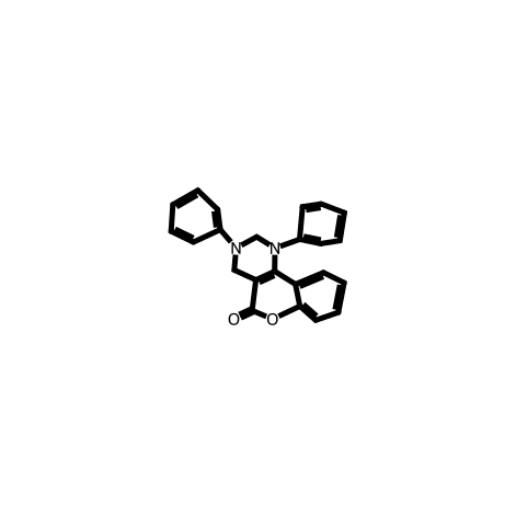 O=c1oc2ccccc2c2c1CN(c1ccccc1)CN2c1ccccc1